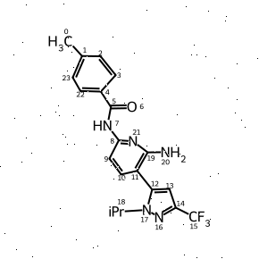 Cc1ccc(C(=O)Nc2ccc(-c3cc(C(F)(F)F)nn3C(C)C)c(N)n2)cc1